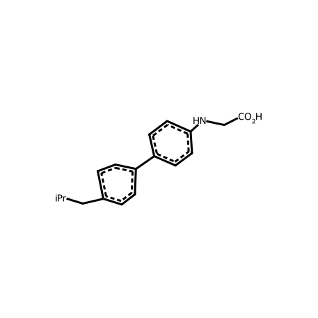 CC(C)Cc1ccc(-c2ccc(NCC(=O)O)cc2)cc1